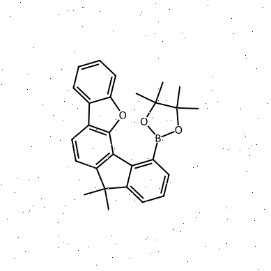 CC1(C)c2cccc(B3OC(C)(C)C(C)(C)O3)c2-c2c1ccc1c2oc2ccccc21